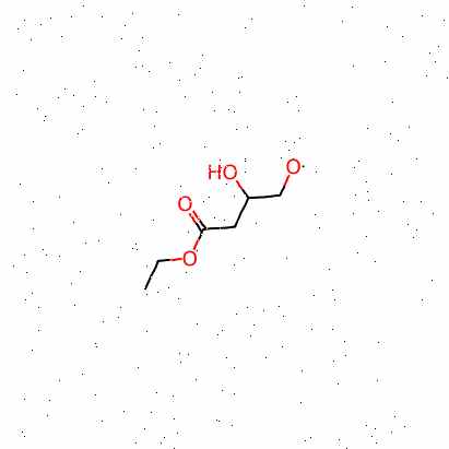 CCOC(=O)CC(O)C[O]